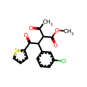 COC(=O)C(C(C)=O)C(C(=O)c1cccs1)c1cccc(Cl)c1